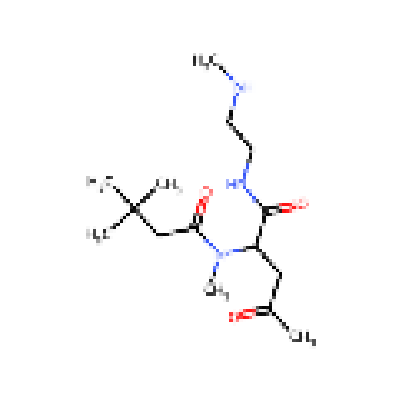 CNCCNC(=O)C(CC(C)=O)N(C)C(=O)CC(C)(C)C